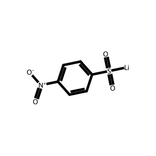 [Li][S](=O)(=O)c1ccc([N+](=O)[O-])cc1